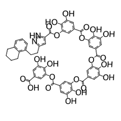 O=C(O)c1cc(O)c(O)c(OC(=O)c2cc(O)c(O)c(OC(=O)c3cc(O)c(O)c(OC(=O)c4cc(O)c(O)c(OC(=O)c5cc(O)c(O)c(OC(=O)c6cc(CCc7cccc8c7CCCC8)n[nH]6)c5)c4)c3)c2)c1